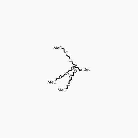 CCCCCCCCCCCC[Si](OCCOCCOCCOC)(OCCOCCOCCOC)OCCOCCOCCOC